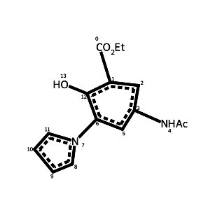 CCOC(=O)c1cc(NC(C)=O)cc(-n2cccc2)c1O